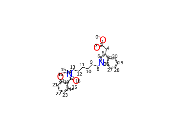 COC(=O)Cc1cn(CCCCCCN(C=O)C(=O)c2ccccc2C)c2ccccc12